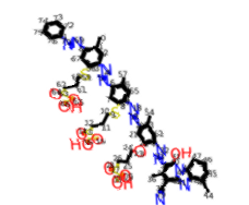 Cc1cc(N=Nc2cc(SCCCS(=O)(=O)O)c(N=Nc3cc(OCCCS(=O)(=O)O)c(N=Nc4c(C)c(C#N)c5nc6c(C)cccc6n5c4O)cc3C)cc2C)c(SCCCS(=O)(=O)O)cc1N=Nc1ccccc1